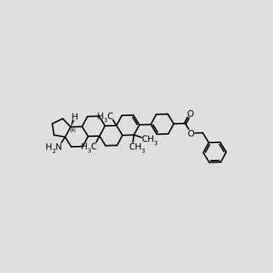 CC1(C)C(C2=CCC(C(=O)OCc3ccccc3)CC2)=CCC2(C)C1CCC1(C)C3CCC4(N)CCC[C@@H]4C3CCC12